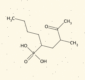 CCCCC(CC(C)C(C)=O)P(=O)(O)O